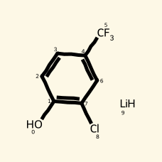 Oc1ccc(C(F)(F)F)cc1Cl.[LiH]